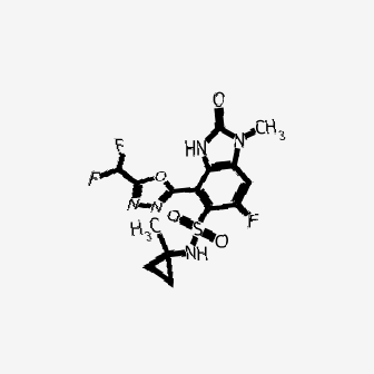 Cn1c(=O)[nH]c2c(-c3nnc(C(F)F)o3)c(S(=O)(=O)NC3(C)CC3)c(F)cc21